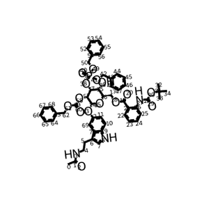 CC(=O)NCCc1c[nH]c2ccc(O[C@@H]3O[C@H](COC(=O)c4ccccc4NC(=O)OC(C)(C)C)[C@@H](O)[C@H](OP(=O)(OCc4ccccc4)OCc4ccccc4)[C@H]3OC(=O)OCc3ccccc3)cc12